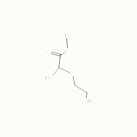 CCOC(=O)C(O)OCCO